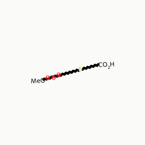 COCCOCCOCCOCCCCCCCCCCCSCCCCCCCCCCC(=O)O